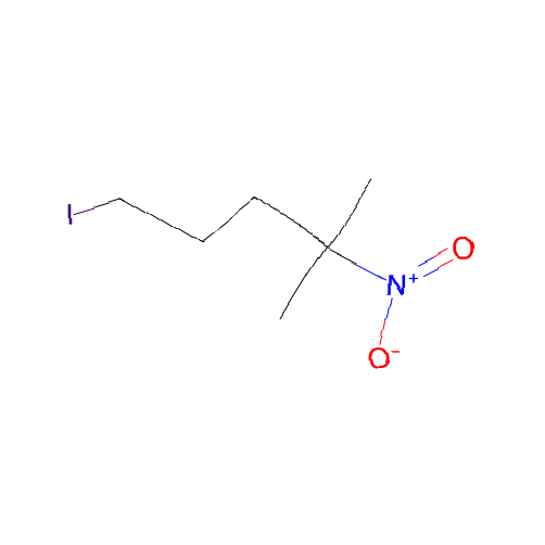 CC(C)(CCCI)[N+](=O)[O-]